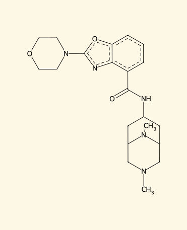 CN1CC2CC(NC(=O)c3cccc4oc(N5CCOCC5)nc34)CC(C1)N2C